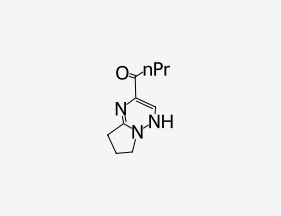 CCCC(=O)C1=CNN2CCCC2=N1